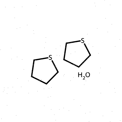 C1CCSC1.C1CCSC1.O